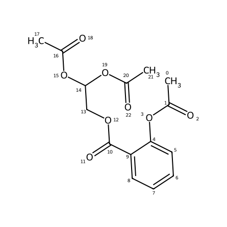 CC(=O)Oc1ccccc1C(=O)OCC(OC(C)=O)OC(C)=O